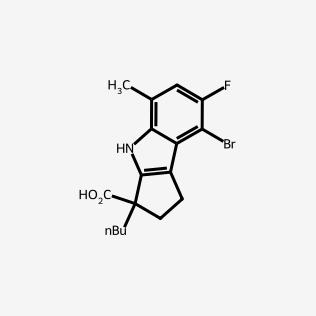 CCCCC1(C(=O)O)CCc2c1[nH]c1c(C)cc(F)c(Br)c21